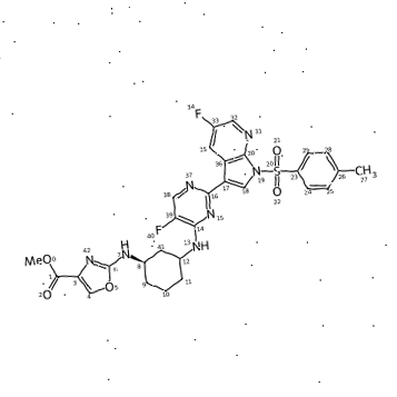 COC(=O)c1coc(N[C@@H]2CCCC(Nc3nc(-c4cn(S(=O)(=O)c5ccc(C)cc5)c5ncc(F)cc45)ncc3F)C2)n1